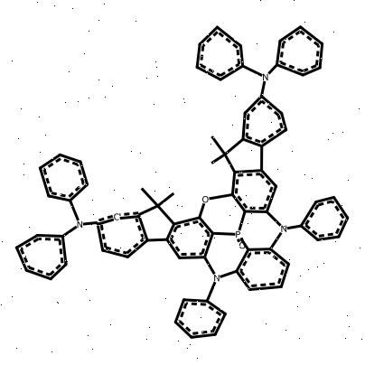 CC1(C)c2cc(N(c3ccccc3)c3ccccc3)ccc2-c2cc3c4c(c21)Oc1c2c(cc5c1P4(=O)c1c(cccc1N5c1ccccc1)N3c1ccccc1)-c1ccc(N(c3ccccc3)c3ccccc3)cc1C2(C)C